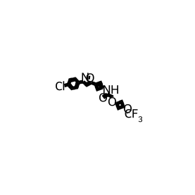 O=C(CO[C@H]1C[C@@H](OC(F)(F)F)C1)NC12CC(c3cc(-c4ccc(Cl)cc4)no3)(C1)C2